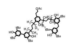 CC(=O)OCCc1cc(C(C)(C)CCC(C)(C)c2cc(Cc3cc(C(C)(C)C)c(O)c(C(C)(C)C)c3)cc(C(C)(C)C)c2O)c(O)c(C(C)(C)CCC(C)(C)c2cc(-c3cc(C(C)(C)C)c(O)c(C(C)(C)C)c3)cc(C(C)(C)C)c2O)c1